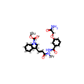 CC(C)N(NC(=O)c1cccc(OCC(N)=O)c1)C(=O)C=Cc1cn(C(=O)OC(C)(C)C)c2ccccc12